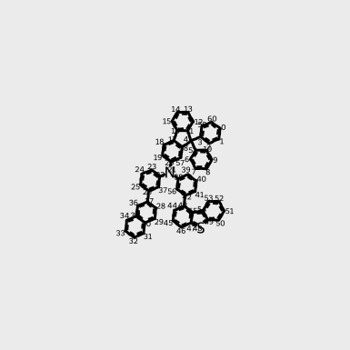 c1ccc(C2(c3ccccc3)c3ccccc3-c3ccc(N(c4cccc(-c5ccc6ccccc6c5)c4)c4cccc(-c5cccc6sc7ccccc7c56)c4)cc32)cc1